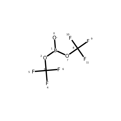 [O]B(OC(F)(F)F)OC(F)(F)F